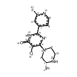 CC(C)[C@@H]1CN(c2nc(-c3ccnc(F)c3)[nH]c(=O)c2Cl)CCN1